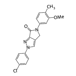 COc1cc(N2Cc3cn(-c4ccc(Cl)cc4)nc3C2=O)ccc1C